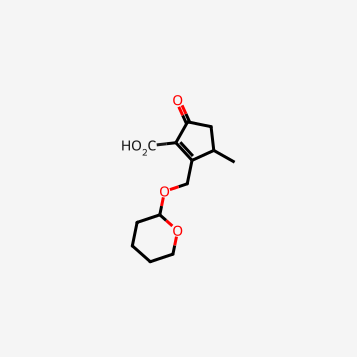 CC1CC(=O)C(C(=O)O)=C1COC1CCCCO1